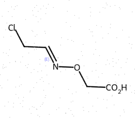 O=C(O)CO/N=C/CCl